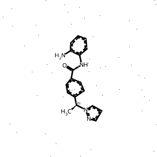 C[C@@H](c1ccc(C(=O)Nc2ccccc2N)cc1)n1cccn1